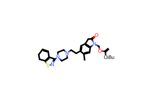 C=C(OCC(C)C)OCN1C(=O)Cc2cc(CCN3CCN(c4nsc5c4C=CCC5)CC3)c(C)cc21